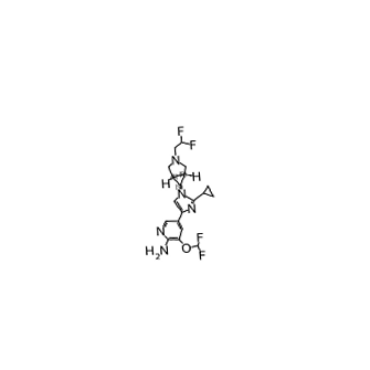 Nc1ncc(-c2cn([C@H]3[C@@H]4CN(CC(F)F)C[C@@H]43)c(C3CC3)n2)cc1OC(F)F